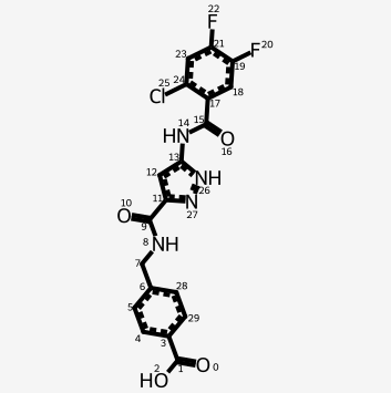 O=C(O)c1ccc(CNC(=O)c2cc(NC(=O)c3cc(F)c(F)cc3Cl)[nH]n2)cc1